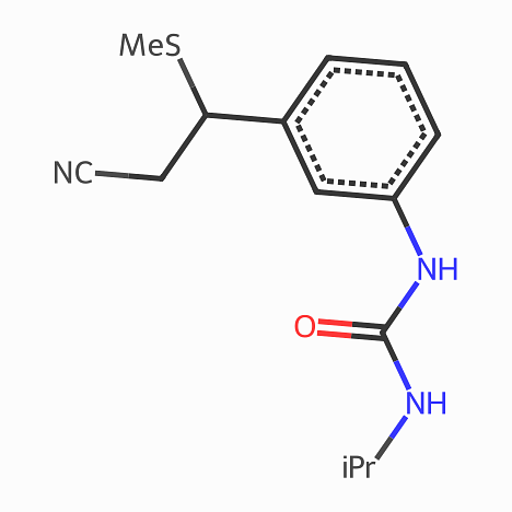 CSC(CC#N)c1cccc(NC(=O)NC(C)C)c1